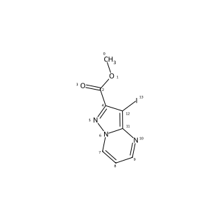 COC(=O)c1nn2cccnc2c1I